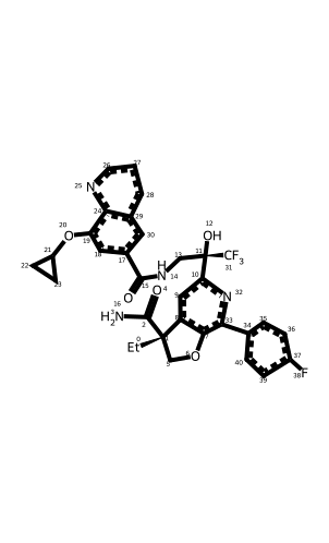 CC[C@]1(C(N)=O)COc2c1cc([C@@](O)(CNC(=O)c1cc(OC3CC3)c3ncccc3c1)C(F)(F)F)nc2-c1ccc(F)cc1